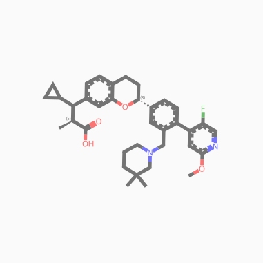 COc1cc(-c2ccc([C@H]3CCc4ccc(C(C5CC5)[C@H](C)C(=O)O)cc4O3)cc2CN2CCCC(C)(C)C2)c(F)cn1